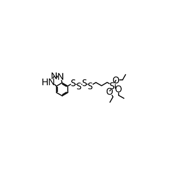 CCO[Si](CCCSSSSc1cccc2[nH]nnc12)(OCC)OCC